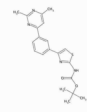 Cc1cc(-c2cccc(-c3csc(NC(=O)OC(C)(C)C)n3)c2)nc(C)n1